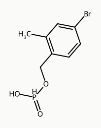 Cc1cc(Br)ccc1CO[PH](=O)O